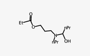 CCCC(O)N(CCC)CCCOC(=O)CC